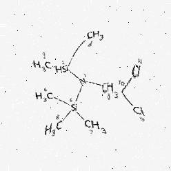 CN([SiH](C)C)[Si](C)(C)C.ClCCl